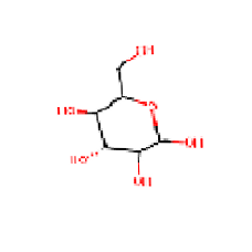 OCC1OC(O)C(O)[C@H](O)[C@H]1O